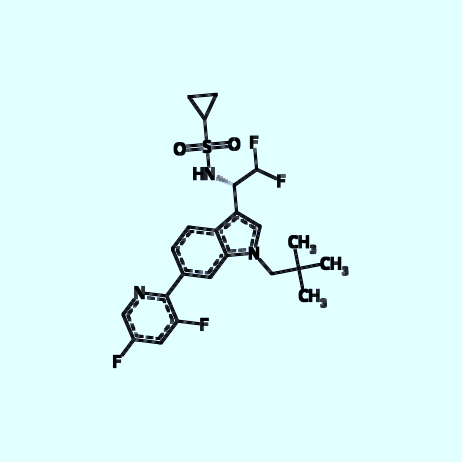 CC(C)(C)Cn1cc([C@H](NS(=O)(=O)C2CC2)C(F)F)c2ccc(-c3ncc(F)cc3F)cc21